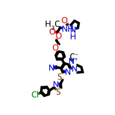 [C-]#[N+]c1c(N2CCCC2)nc(SCc2csc(-c3ccc(Cl)cc3)n2)c(C#N)c1-c1ccc(OCCOC(=O)[C@H](C)NC(=O)[C@@H]2CCCN2)cc1